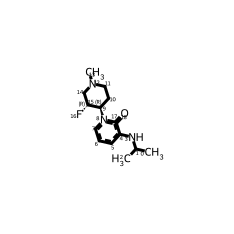 CC(C)Nc1cccn([C@@H]2CCN(C)C[C@H]2F)c1=O